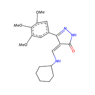 COc1cc(C2=NNC(=O)C2=CNC2CCCCC2)cc(OC)c1OC